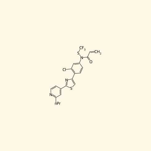 C=CC(=O)N(SC(F)(F)F)c1ccc(-c2csc(-c3ccnc(CCC)c3)n2)c(Cl)c1